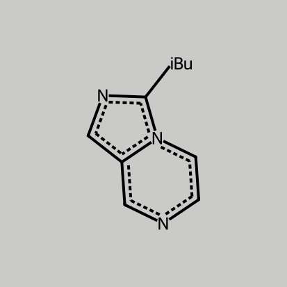 CCC(C)c1ncc2cnccn12